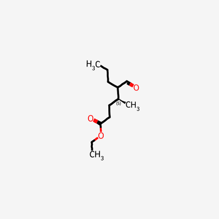 CCCC(C=O)[C@@H](C)CCC(=O)OCC